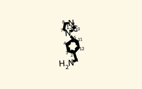 NCc1ccc(N2CCN=[13CH]2)cc1